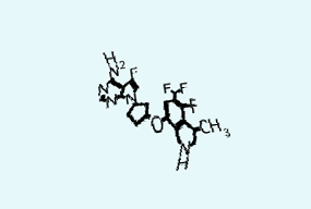 CC1CNCc2c(OC3CCC(n4cc(F)c5c(N)ncnc54)C3)cc(C(F)F)c(F)c21